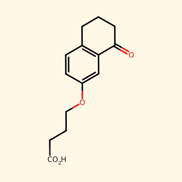 O=C(O)CCCOc1ccc2c(c1)C(=O)CCC2